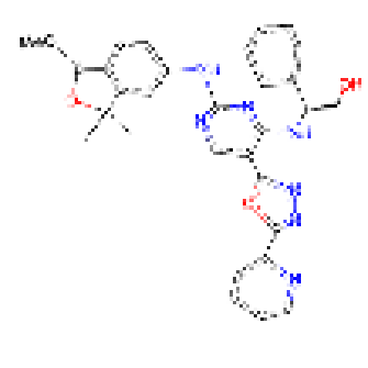 COB1OC(C)(C)c2cc(Nc3ncc(-c4nnc(-c5ccccn5)o4)c(N[C@H](CO)c4ccccc4)n3)ccc21